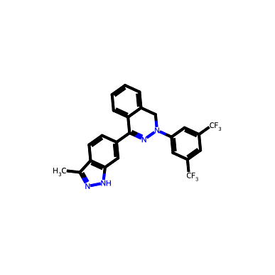 Cc1n[nH]c2cc(C3=NN(c4cc(C(F)(F)F)cc(C(F)(F)F)c4)Cc4ccccc43)ccc12